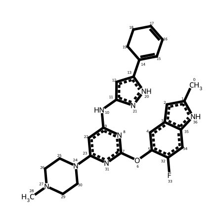 Cc1cc2cc(Oc3nc(Nc4cc(C5=CC=CCC5)[nH]n4)cc(N4CCN(C)CC4)n3)c(F)cc2[nH]1